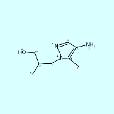 Cc1c(N)cnn1CC(C)CO